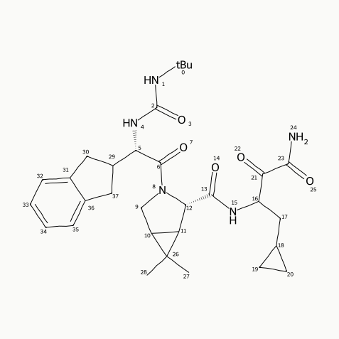 CC(C)(C)NC(=O)N[C@H](C(=O)N1CC2C([C@H]1C(=O)NC(CC1CC1)C(=O)C(N)=O)C2(C)C)C1Cc2ccccc2C1